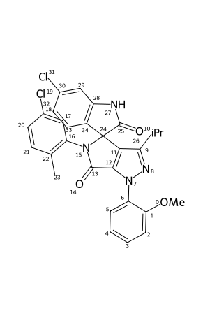 COc1ccccc1-n1nc(C(C)C)c2c1C(=O)N(c1cc(Cl)ccc1C)C21C(=O)Nc2cc(Cl)ccc21